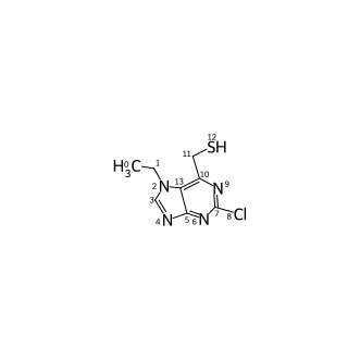 CCn1cnc2nc(Cl)nc(CS)c21